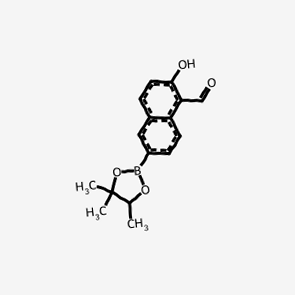 CC1OB(c2ccc3c(C=O)c(O)ccc3c2)OC1(C)C